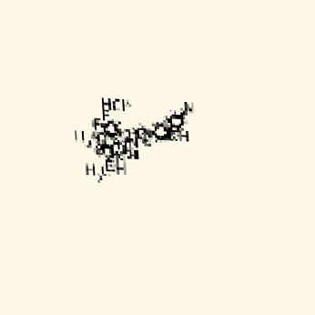 COCC1=C(C(=O)OC)[C@H](c2ccc(F)c(F)c2)N(C(=O)N[C@@H]2CCN(C3CCC(O)(c4ccc(C#N)cc4)CC3)C2)C(=O)N1.Cl